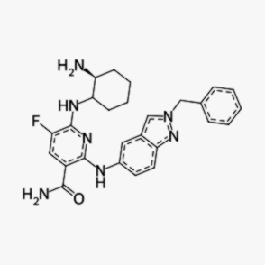 NC(=O)c1cc(F)c(NC2CCCC[C@@H]2N)nc1Nc1ccc2nn(Cc3ccccc3)cc2c1